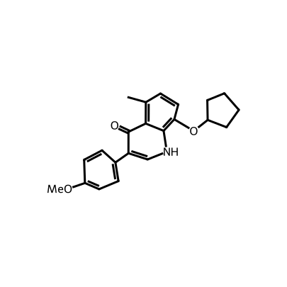 COc1ccc(-c2c[nH]c3c(OC4CCCC4)ccc(C)c3c2=O)cc1